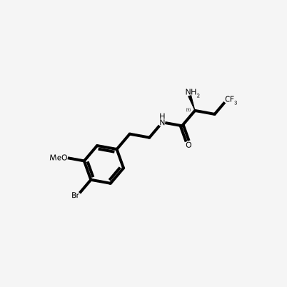 COc1cc(CCNC(=O)[C@@H](N)CC(F)(F)F)ccc1Br